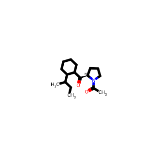 CCC(C)C1CCCCC1C(=O)[C@H]1CCCN1C(C)=O